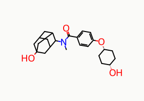 CN(C(=O)c1ccc(O[C@H]2CC[C@@H](O)CC2)cc1)C1C2CC3CC1CC(O)(C3)C2